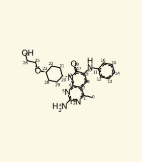 Cc1nc(N)nc2c1cc(Nc1ccccc1)c(=O)n2[C@H]1CC[C@H](OCCO)CC1